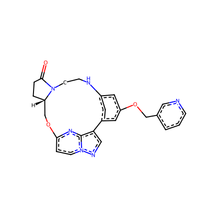 O=C1CC[C@H]2COc3ccn4ncc(c4n3)-c3cc(cc(OCc4cccnc4)c3)NCCN12